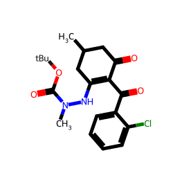 CC1CC(=O)C(C(=O)c2ccccc2Cl)=C(NN(C)C(=O)OC(C)(C)C)C1